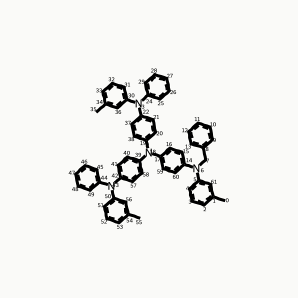 Cc1cccc(N(Cc2ccccc2)c2ccc(N(c3ccc(N(c4ccccc4)c4cccc(C)c4)cc3)c3ccc(N(c4ccccc4)c4cccc(C)c4)cc3)cc2)c1